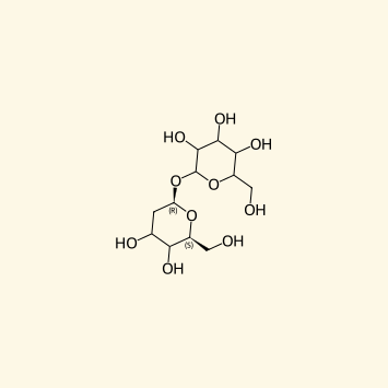 OCC1OC(O[C@@H]2CC(O)C(O)[C@H](CO)O2)C(O)C(O)C1O